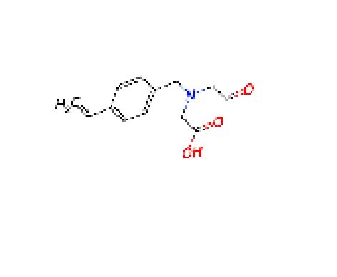 C=Cc1ccc(CN(CC=O)CC(=O)O)cc1